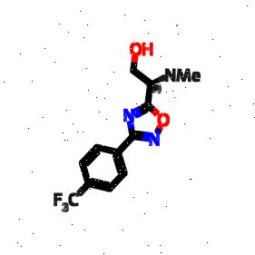 CN[C@H](CO)c1nc(-c2ccc(C(F)(F)F)cc2)no1